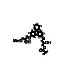 C=C(C)C(=O)OCC(O)COc1ccc(C2(c3ccc(OCC(O)COC)cc3)CCCCC2)cc1